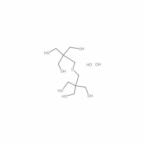 Cl.Cl.OCC(CO)(CO)COCC(CO)(CO)CO